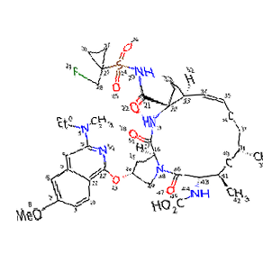 CCN(C)c1cc2cc(OC)ccc2c(O[C@@H]2C[C@H]3C(=O)N[C@]4(C(=O)NS(=O)(=O)C5(CF)CC5)C[C@H]4C=CCC[C@H](C)C[C@@H](C)[C@H](NC(=O)O)C(=O)N3C2)n1